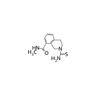 CNC(=O)c1cccc2c1CN(C(N)=S)CC2